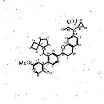 COc1cc(-c2ccc(C3CCc4ccc([C@H](C5CC5)[C@H](C)C(=O)O)cc4O3)cc2CN2CCCC23CCC3)c(F)cn1